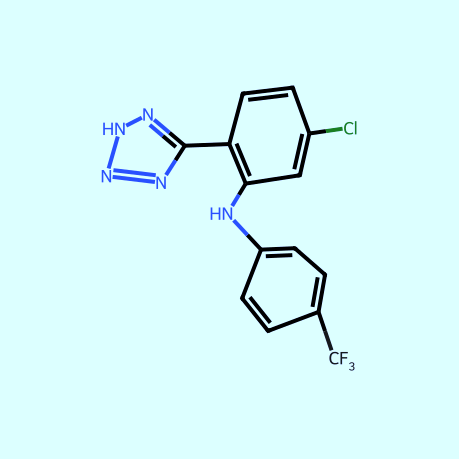 FC(F)(F)c1ccc(Nc2cc(Cl)ccc2-c2nn[nH]n2)cc1